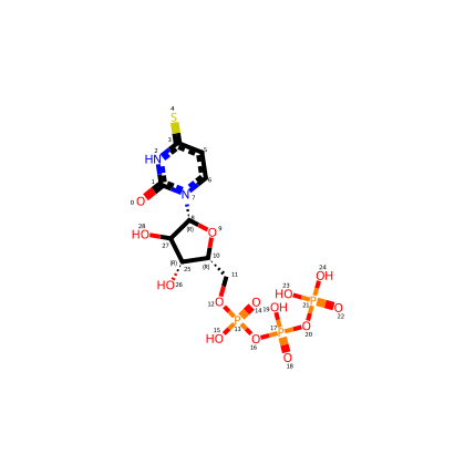 O=c1[nH]c(=S)ccn1[C@@H]1O[C@H](COP(=O)(O)OP(=O)(O)OP(=O)(O)O)[C@H](O)C1O